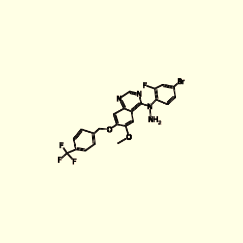 COc1cc2c(N(N)c3ccc(Br)cc3F)ncnc2cc1OCc1ccc(C(F)(F)F)cc1